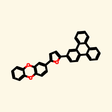 c1ccc2c(c1)Oc1ccc(-c3ccc(-c4ccc5c6ccccc6c6ccccc6c5c4)o3)cc1O2